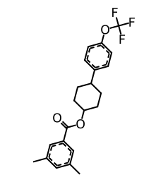 Cc1cc(C)cc(C(=O)OC2CCC(c3ccc(OC(F)(F)F)cc3)CC2)c1